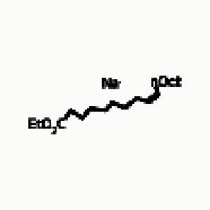 CCCCCCCC/C=C\CCCCCCCC(=O)OCC.[Na]